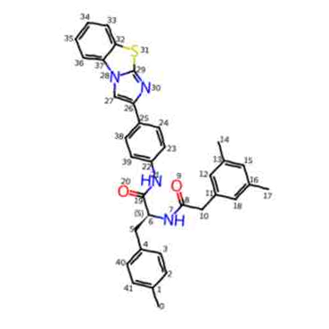 Cc1ccc(C[C@H](NC(=O)Cc2cc(C)cc(C)c2)C(=O)Nc2ccc(-c3cn4c(n3)sc3ccccc34)cc2)cc1